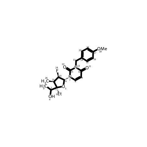 CC[C@@]1(C(C)O)O[C@@H](n2ccc(=O)n(Cc3ccc(OC)cc3)c2=O)[C@H](F)[C@@H]1C